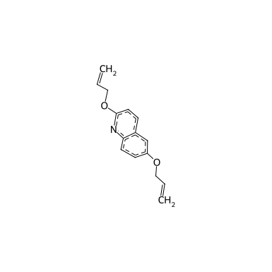 C=CCOc1ccc2nc(OCC=C)ccc2c1